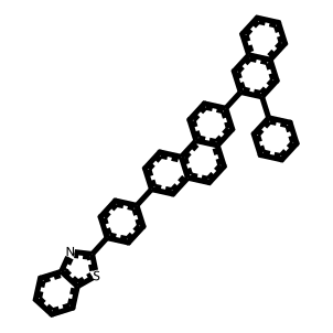 c1ccc(-c2cc3ccccc3cc2-c2ccc3c(ccc4cc(-c5ccc(-c6nc7ccccc7s6)cc5)ccc43)c2)cc1